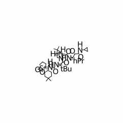 CCC[C@H](NC(=O)[C@@H]1[C@@H]2[C@H](CN1C(=O)[C@@H](NC(=O)NC1([C@H]3CCCS3(=O)=O)CCC(C)(C)CC1)C(C)(C)C)C2(C)C)C(=O)C(=O)NC1CC1